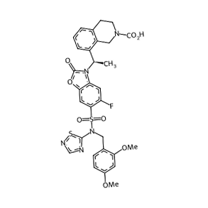 COc1ccc(CN(c2ncns2)S(=O)(=O)c2cc3oc(=O)n([C@H](C)c4cccc5c4CN(C(=O)O)CC5)c3cc2F)c(OC)c1